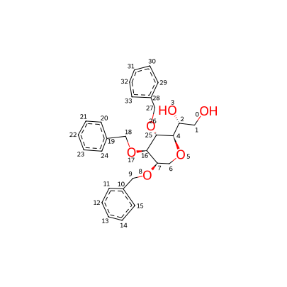 OC[C@@H](O)[C@H]1OC[C@@H](OCc2ccccc2)[C@@H](OCc2ccccc2)[C@@H]1OCc1ccccc1